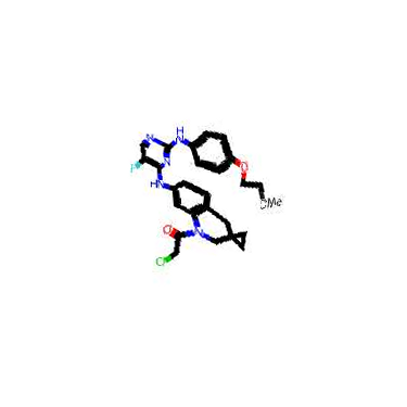 COCCOc1ccc(Nc2ncc(F)c(Nc3ccc4c(c3)N(C(=O)CCl)CC3(CC3)C4)n2)cc1